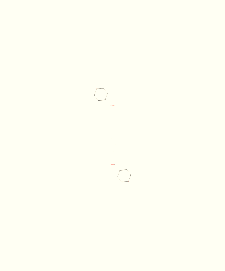 Cc1cc(O)cc(C)c1C(=O)CCCCCCCCC(=O)c1c(C)cc(O)cc1C